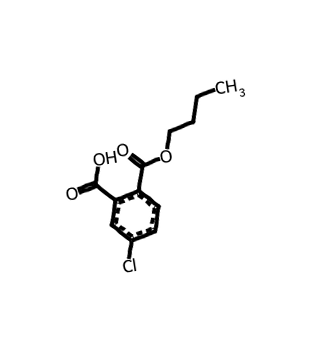 CCCCOC(=O)c1ccc(Cl)cc1C(=O)O